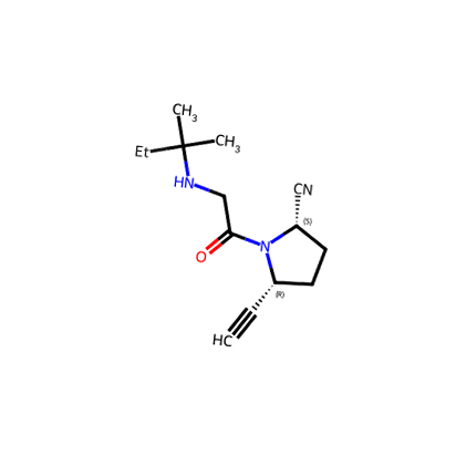 C#C[C@H]1CC[C@@H](C#N)N1C(=O)CNC(C)(C)CC